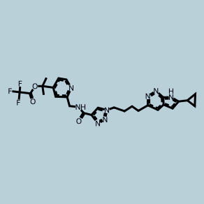 CC(C)(OC(=O)C(F)(F)F)c1ccnc(CNC(=O)c2cn(CCCCc3cc4cc(C5CC5)[nH]c4nn3)nn2)c1